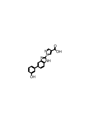 O=C(O)c1cnn(-c2nc3cc(-c4cccc(O)c4)ccc3[nH]2)c1